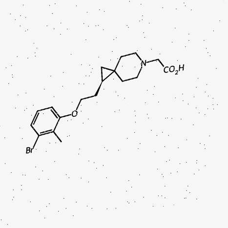 Cc1c(Br)cccc1OCC[C@H]1CC12CCN(CC(=O)O)CC2